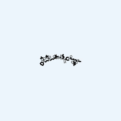 CCOC(=O)CN(CCC(=O)N1CCC(Nc2cc(C)nc(NCc3cc(CCCN(CCCN(C(=O)OC(C)(C)C)C4CCCCC4)C(=O)OC(C)(C)C)on3)n2)CC1)C(=O)OC(C)(C)C